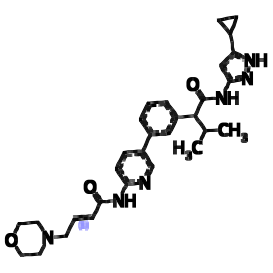 CC(C)C(C(=O)Nc1cc(C2CC2)[nH]n1)c1cccc(-c2ccc(NC(=O)/C=C/CN3CCOCC3)nc2)c1